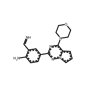 N=Cc1cc(-c2nc(N3CCOCC3)c3cccn3n2)ccc1N